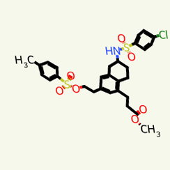 COC(=O)CCc1cc(CCOS(=O)(=O)c2ccc(C)cc2)cc2c1CCC(NS(=O)(=O)c1ccc(Cl)cc1)C2